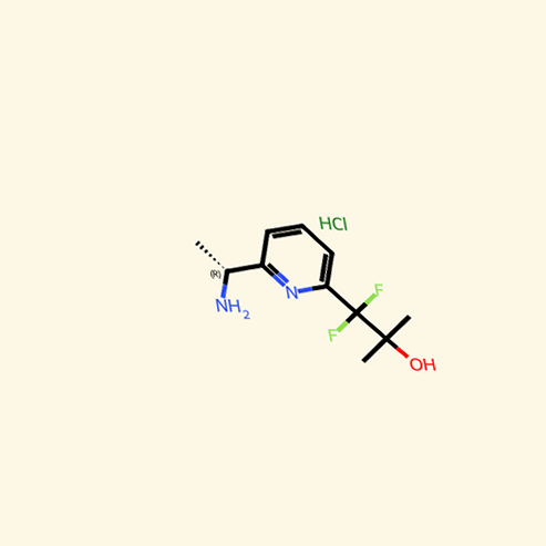 C[C@@H](N)c1cccc(C(F)(F)C(C)(C)O)n1.Cl